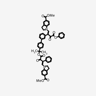 COC(=O)c1ccc2c(c1)CCN2/C=C(/C(=O)C(=O)Oc1ccccc1)c1cccc(-c2ccc(C(C)(C)OC(=O)C(=O)/C(=C/N3CCc4cc(C(=O)OC)ccc43)c3ccccc3)cc2)c1